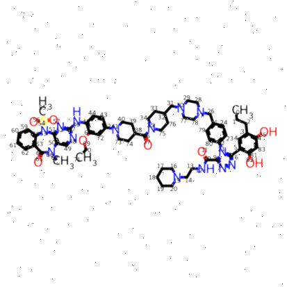 CCCc1cc(-c2nnc(C(=O)NCCN3CCCCC3)n2-c2ccc(CN3CCN(CC4CCN(C(=O)C5CCN(c6ccc(Nc7ncc8c(n7)N(S(C)(=O)=O)c7ccccc7C(=O)N8C)c(OCC)c6)CC5)CC4)CC3)cc2)c(O)cc1O